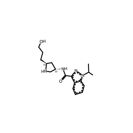 CC(C)n1nc(C(=O)N[C@@H]2CN[C@@H](CCCO)C2)c2ccccc21